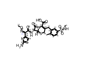 CNS(=O)(=O)c1ccc(C)c(CC2=C(C(=O)O)N3C(=O)[C@@H](NC(=O)/C(=N\OC)c4csc(N)n4)[C@H]3SC2)c1